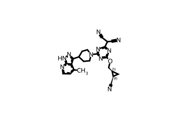 Cc1ccnc2[nH]nc(C3CCN(c4nc(OC[C@H]5C[C@H]5C#N)nc(C(C#N)C#N)n4)CC3)c12